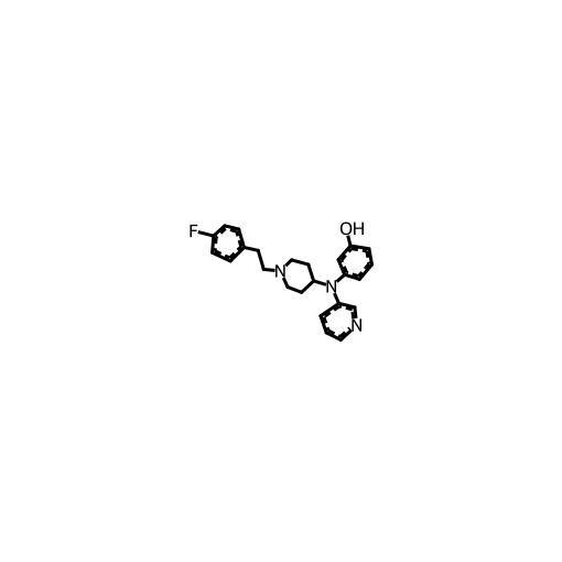 Oc1cccc(N(c2cccnc2)C2CCN(CCc3ccc(F)cc3)CC2)c1